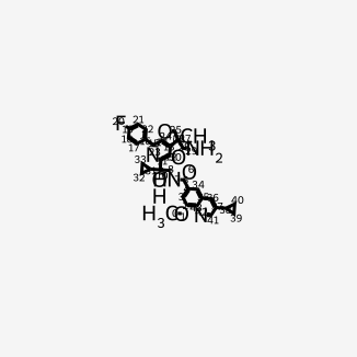 COc1cc(C(=O)NCC(O)(c2cc3c(c(-c4ccc(F)cc4)n2)OC[C@]3(C)C(N)=O)C2CC2)cc2cc(C3CC3)cnc12